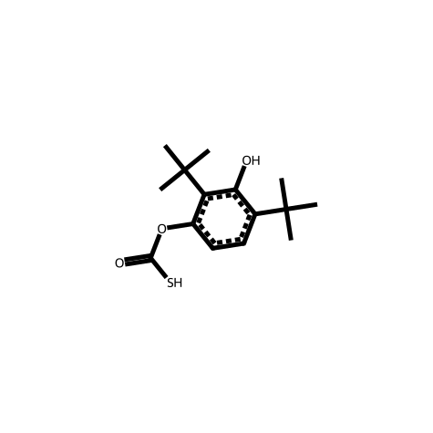 CC(C)(C)c1ccc(OC(=O)S)c(C(C)(C)C)c1O